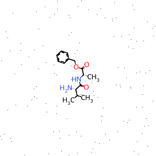 CC(C)[C@H](N)C(=O)N[C@@H](C)C(=O)OCc1ccccc1